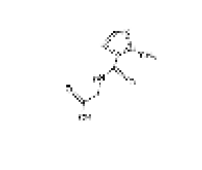 Cn1nccc1C(=O)NCC(=O)O